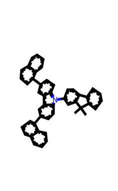 CC1(C)c2ccccc2-c2ccc(-n3c4ccc(-c5cccc6ccccc56)cc4c4cc(-c5cccc6ccccc56)ccc43)cc21